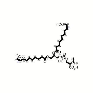 [2H]N[C@@H](COP(=O)(O)OC[C@@H](COC(=O)CCCCCCC/C=C\CCCCCCCC)OC(=O)CCCCCCC/C=C\CCCCCCCC)C(=O)O